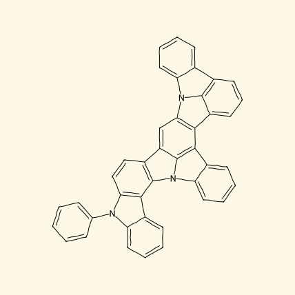 c1ccc(-n2c3ccccc3c3c2ccc2c4cc5c(c6cccc7c8ccccc8n5c76)c5c6ccccc6n(c45)c23)cc1